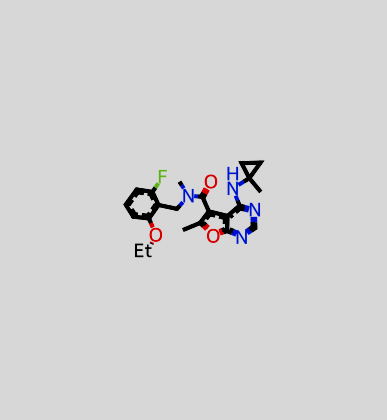 CCOc1cccc(F)c1CN(C)C(=O)c1c(C)oc2ncnc(NC3(C)CC3)c12